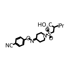 CC(C)C(CS(=O)(=O)N1CCC(=NOc2ccc(C#N)cc2)CC1)C(=O)O